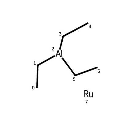 C[CH2][Al]([CH2]C)[CH2]C.[Ru]